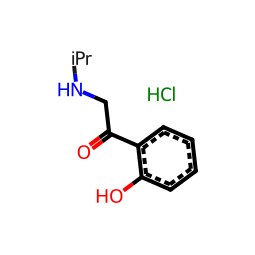 CC(C)NCC(=O)c1ccccc1O.Cl